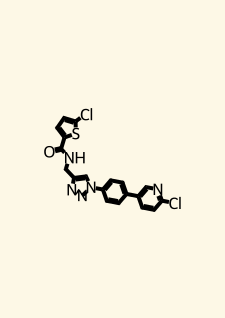 O=C(NCc1cn(-c2ccc(-c3ccc(Cl)nc3)cc2)nn1)c1ccc(Cl)s1